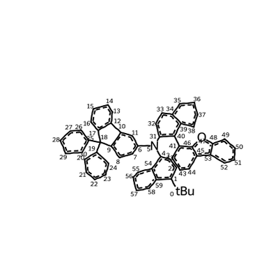 CC(C)(C)c1ccc(N(c2ccc3c(c2)-c2ccccc2C3(c2ccccc2)c2ccccc2)c2ccc3ccccc3c2-c2cccc3c2oc2ccccc23)c2ccccc12